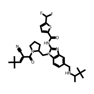 CC(NCc1ccc2c(c1)nc(NC(=O)c1ccc(C(F)F)s1)n2CC1CCCN1C(=O)C(C#N)=CC(C)(C)C)C(C)(C)C